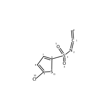 C=C=NS(=O)(=O)c1ccc(Cl)s1